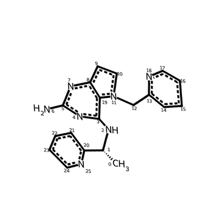 C[C@@H](Nc1nc(N)nc2ccn(Cc3ccccn3)c12)c1ccccn1